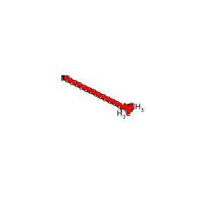 CCCCc1nc2c(OC(C)C)nnc(NCc3ccc(CNCCOCCOCCOCCOCCOCCOCCOCCOCCOCCOCCOCCOCCOCCOCCOCCOCCOCCOCCOCCOCCOCCOCCOCCN=[N+]=[N-])cc3)c2[nH]1